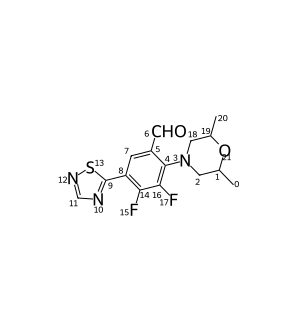 CC1CN(c2c(C=O)cc(-c3ncns3)c(F)c2F)CC(C)O1